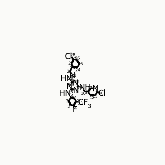 Fc1ccc(Nc2nc(NCc3ccc(Cl)nc3)nc(N/N=C/c3cccc(Cl)c3)n2)cc1C(F)(F)F